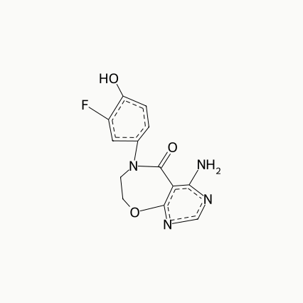 Nc1ncnc2c1C(=O)N(c1ccc(O)c(F)c1)CCO2